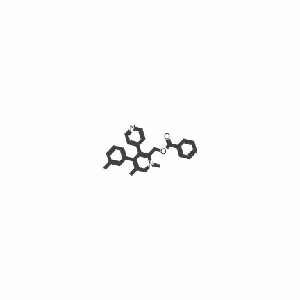 CC1=C(c2cccc(C)c2)C(c2ccncc2)=C(COC(=O)c2ccccc2)N(C)C1